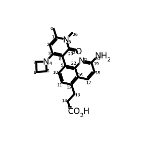 Cc1cc(N2CCC2)c(-c2ccc(CCC(=O)O)c3ccc(N)nc23)c(=O)n1C